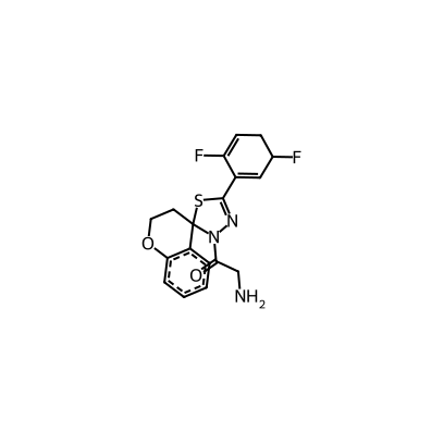 NCC(=O)N1N=C(C2=CC(F)CC=C2F)SC12CCOc1ccccc12